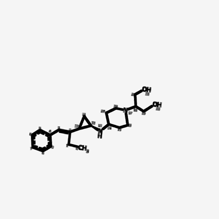 CC/C(=C\c1ccccc1)C1C[C@H]1NC1CCN(C(CO)CO)CC1